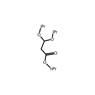 CCCOC(=O)CC(OC(C)C)OC(C)C